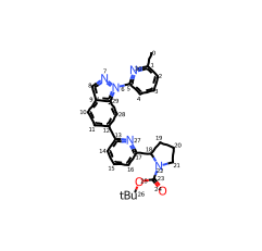 Cc1cccc(-n2ncc3ccc(-c4cccc(C5CCCN5C(=O)OC(C)(C)C)n4)cc32)n1